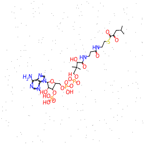 CC(C)CC(=O)C(=O)SCCNC(=O)CCNC(=O)C(O)C(C)(C)COP(=O)(O)OP(=O)(O)OCC1OC(n2cnc3c(N)ncnc32)C(O)C1OP(=O)(O)O